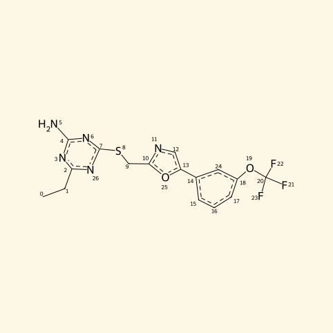 CCc1nc(N)nc(SCc2ncc(-c3cccc(OC(F)(F)F)c3)o2)n1